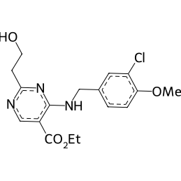 CCOC(=O)c1cnc(CCO)nc1NCc1ccc(OC)c(Cl)c1